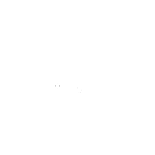 CC1CCCCCOC1=O